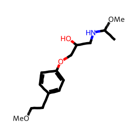 COCCc1ccc(OCC(O)CNC(C)OC)cc1